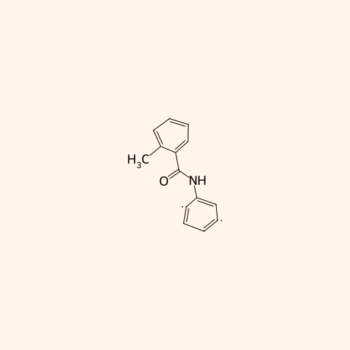 Cc1ccccc1C(=O)Nc1[c]cc[c]c1